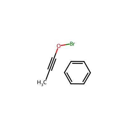 CC#COBr.c1ccccc1